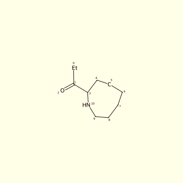 [CH]CC(=O)C1CCCCCCN1